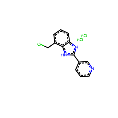 Cl.Cl.ClCc1cccc2nc(-c3cccnc3)[nH]c12